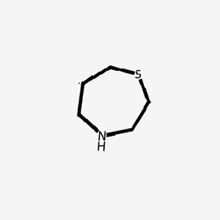 [CH]1CNCCSC1